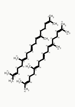 CC(C)=CCC/C(C)=C/C/C=C/C/C=C(\C)CCC=C(C)C.CC(C)=CCC/C(C)=C/C/C=C/C/C=C(\C)CCC=C(C)C